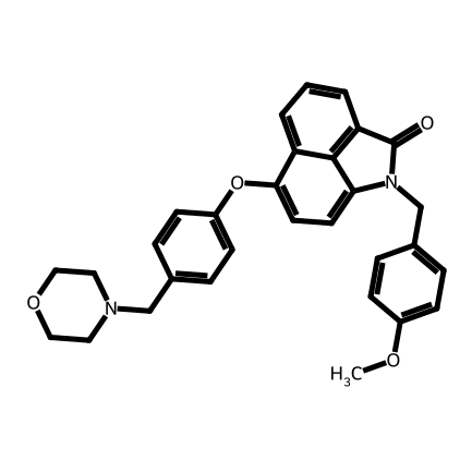 COc1ccc(CN2C(=O)c3cccc4c(Oc5ccc(CN6CCOCC6)cc5)ccc2c34)cc1